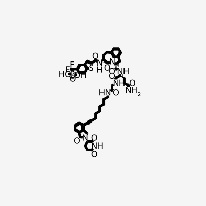 NC(=O)CC[C@H](NC(=O)[C@@H]1Cc2cccc3c2N1C(=O)[C@@H](NC(=O)c1cc2cc(C(F)(F)P(=O)(O)O)ccc2s1)CC3)C(=O)NCC(=O)NCCCCCCCC#Cc1cccc2c1CN(C1CCC(=O)NC1=O)C2=O